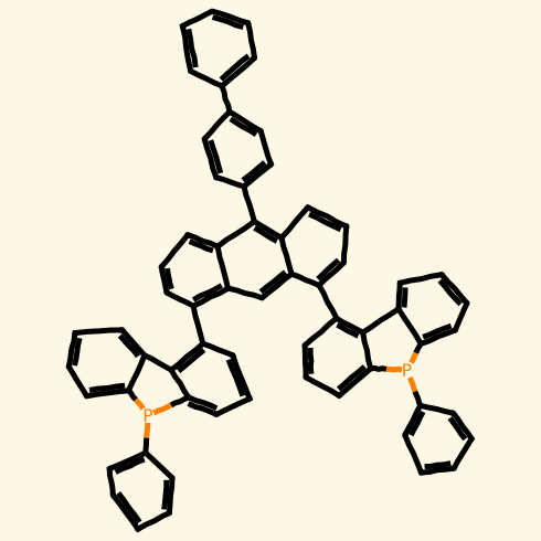 c1ccc(-c2ccc(-c3c4cccc(-c5cccc6c5c5ccccc5p6-c5ccccc5)c4cc4c(-c5cccc6c5c5ccccc5p6-c5ccccc5)cccc34)cc2)cc1